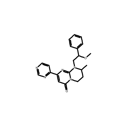 COC(CN1c2nc(-c3ccncn3)cc(=O)n2CCC1C)c1ccccc1